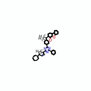 C=C(/C=C\C(=C)c1nc(-c2ccccc2)nc(-c2ccc3c(c2)Oc2c(ccc4c2oc2ccccc24)C3(C)C)n1)C1=CCC=CC=C1